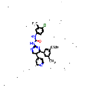 COc1cc(C)cc(-c2nc(NC(=O)Nc3ccc(Cl)c(C(F)(F)F)c3)ncc2-c2ccncc2)c1